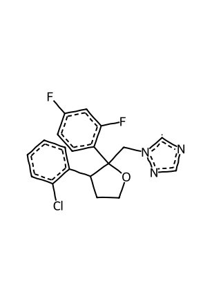 Fc1ccc(C2(Cn3[c]ncn3)OCCC2c2ccccc2Cl)c(F)c1